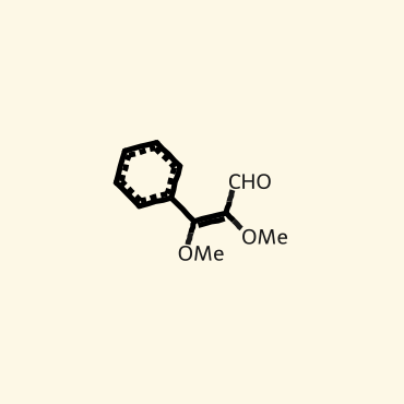 COC(C=O)=C(OC)c1ccccc1